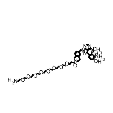 CN(C)c1ncnc2c1c(-c1ccc(O)c(N)c1)nn2Cc1ccc2c(c1)CCN(C(=O)CCOCCOCCOCCOCCOCCOCCOCCOCCN)C2